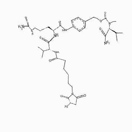 CC(C)C(NC(=O)CCCCCN1C(=O)CC(S)C1=O)C(=O)N[C@@H](CCCNC(N)=O)C(=O)Nc1ccc(COC(=O)N(C)[C@H](C(N)=O)C(C)C)cc1